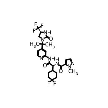 Cn1nccc1C(=O)N[C@H](C(=O)Nc1cc(C(C)(C)N2C[C@@H](C(F)(F)F)NC2=O)ccn1)C1CCC(F)(F)CC1